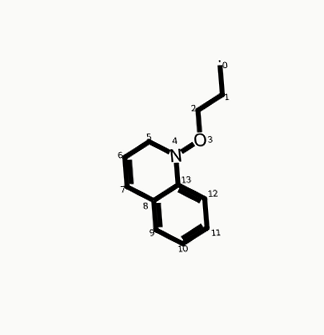 [CH2]CCON1CC=Cc2ccccc21